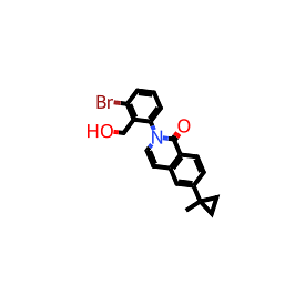 CC1(c2ccc3c(=O)n(-c4cccc(Br)c4CO)ccc3c2)CC1